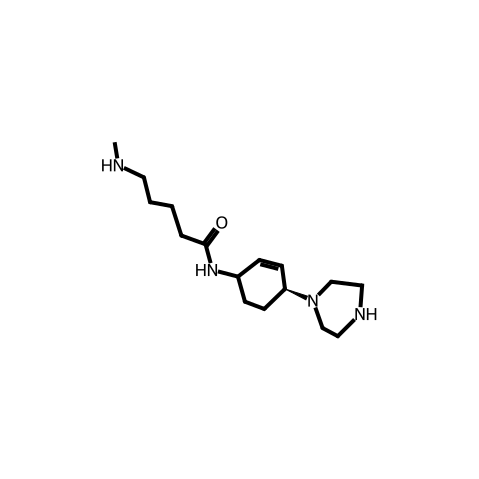 CNCCCCC(=O)NC1C=C[C@@H](N2CCNCC2)CC1